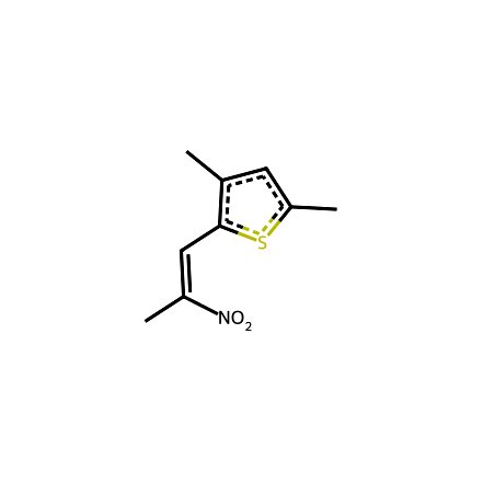 C/C(=C/c1sc(C)cc1C)[N+](=O)[O-]